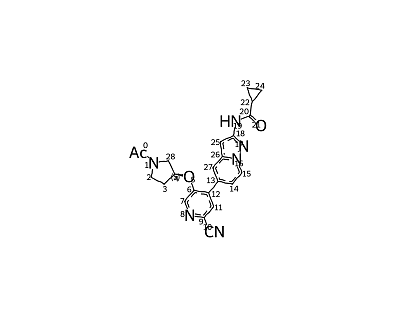 CC(=O)N1CC[C@H](Oc2cnc(C#N)cc2-c2ccn3nc(NC(=O)C4CC4)cc3c2)C1